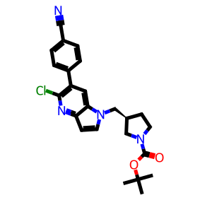 CC(C)(C)OC(=O)N1CC[C@H](Cn2ccc3nc(Cl)c(-c4ccc(C#N)cc4)cc32)C1